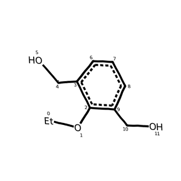 CCOc1c([CH]O)cccc1CO